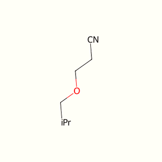 CC(C)COCCC#N